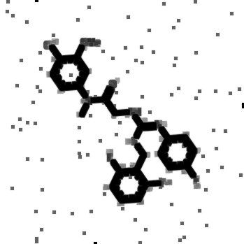 COc1cc(N(C)C(=O)CNC(=Nc2ccc(F)cc2)SCc2c(F)cccc2F)ccc1Cl